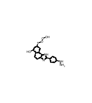 NNc1ccc(-c2nc3ccc4c(O)cc(SOOO)cc4c3[nH]2)cc1